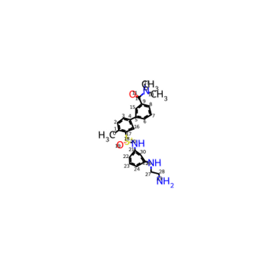 Cc1ccc(-c2cccc(C(=O)N(C)C)c2)cc1[S+]([O-])Nc1cccc(NCCN)c1